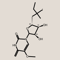 C=C1NC(=O)N(C2O[C@H](CC(C)(I)CC)[C@@H](O)[C@H]2O)C=C1OC